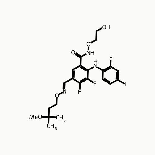 COC(C)(C)CCO/N=C/c1cc(C(=O)NOCCO)c(Nc2ccc(I)cc2F)c(F)c1F